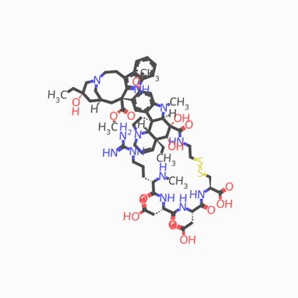 CC[C@]1(O)C[C@H]2CN(CCc3c([nH]c4ccccc34)[C@@](C(=O)OC)(c3cc4c(cc3OC)N(C)[C@H]3[C@@](O)(C(=O)NCCSSC[C@H](NC(=O)[C@H](CC(=O)O)NC(=O)[C@H](CC(=O)O)NC(=O)[C@H](CCCNC(=N)N)NC)C(=O)O)[C@H](O)[C@]5(CC)C=CCN6CC[C@]43[C@@H]65)C2)C1